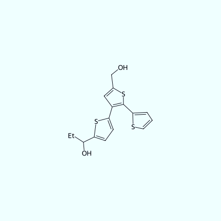 CCC(O)c1ccc(-c2cc(CO)sc2-c2cccs2)s1